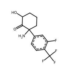 NC1(c2ccc(C(F)(F)F)c(F)c2)CCCC(O)C1=O